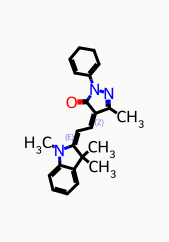 CC1=NN(C2=CCCC=C2)C(=O)/C1=C\C=C1\N(C)c2ccccc2C1(C)C